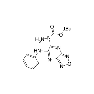 CC(C)(C)OC(=O)N(N)c1nc2nonc2nc1Nc1ccccc1